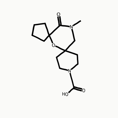 CN1CC2(CCN(C(=O)O)CC2)OC2(CCCC2)C1=O